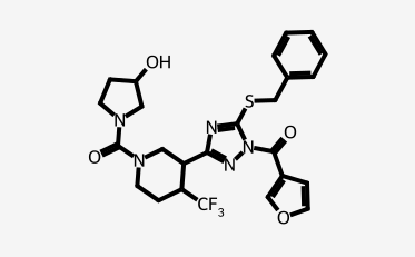 O=C(N1CCC(O)C1)N1CCC(C(F)(F)F)C(c2nc(SCc3ccccc3)n(C(=O)c3ccoc3)n2)C1